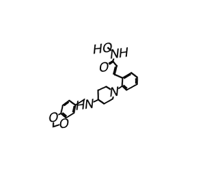 O=C(/C=C/c1ccccc1N1CCC(NCc2ccc3c(c2)OCO3)CC1)NO